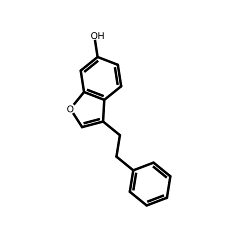 Oc1ccc2c(CCc3ccccc3)coc2c1